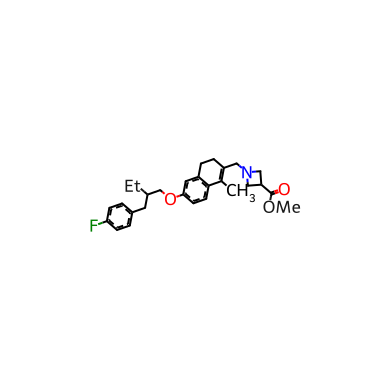 CCC(COc1ccc2c(c1)CCC(CN1CC(C(=O)OC)C1)=C2C)Cc1ccc(F)cc1